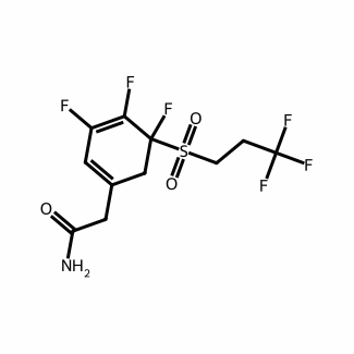 NC(=O)CC1=CC(F)=C(F)C(F)(S(=O)(=O)CCC(F)(F)F)C1